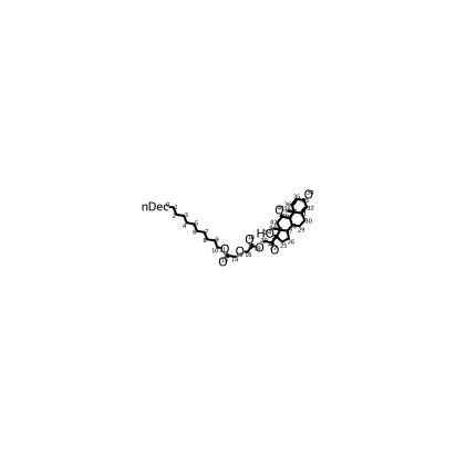 CCCCCCCCCCCCCCCCCCCCOC(=O)COCC(=O)OCC(=O)C1(O)CCC2C3CCC4=CC(=O)C=CC4(C)C3C(=O)CC21C